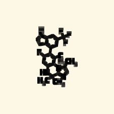 Cc1c(-c2cc(C(F)(F)F)cc3[nH]ccc23)c(F)cc2c1-n1c(C)cnc1C(C)(C)N2